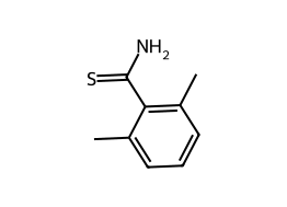 Cc1cccc(C)c1C(N)=S